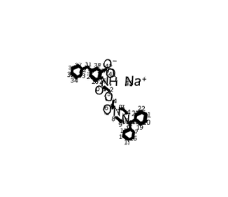 O=C(COCC(=O)N1CCN(C(c2ccccc2)c2ccccc2)CC1)Nc1ccc(Cc2ccccc2)cc1C(=O)[O-].[Na+]